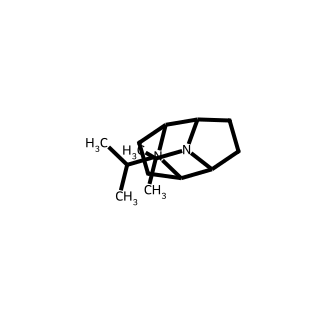 CC(C)N1C2CCC1C1CCC2N1C(C)C